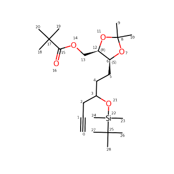 C#CCC(CC[C@@H]1OC(C)(C)O[C@@H]1COC(=O)C(C)(C)C)O[Si](C)(C)C(C)(C)C